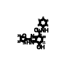 O=C(Nc1ccccc1)c1ccc(O)c2[nH]c(-c3ccco3)nc12